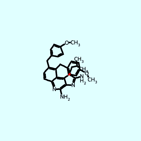 COc1ccc(Cc2ccc3nc(N)c4nc(N)n(CC(C)C)c4c3c2Cc2ccc(OC)cc2)cc1